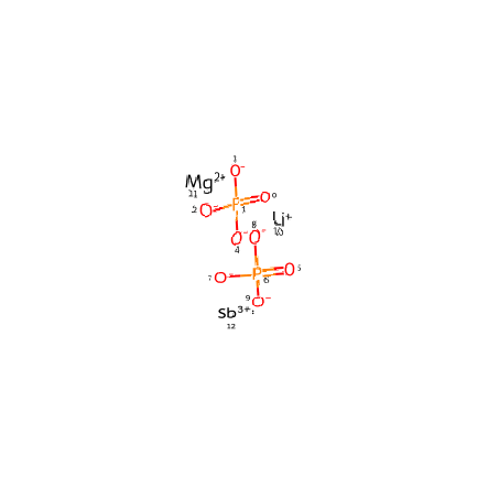 O=P([O-])([O-])[O-].O=P([O-])([O-])[O-].[Li+].[Mg+2].[Sb+3]